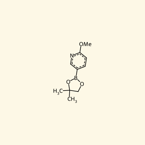 COc1ccc(B2OCC(C)(C)O2)cn1